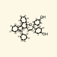 Oc1ccc(C2(c3ccc(O)cc3)C=Cc3c(c4ccccc4c4c5ccccc5n(-c5ccccc5)c34)O2)cc1